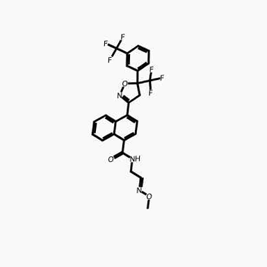 CON=CCNC(=O)c1ccc(C2=NOC(c3cccc(C(F)(F)F)c3)(C(F)(F)F)C2)c2ccccc12